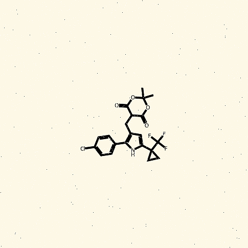 CC1(C)OC(=O)C(Cc2cc(C3(C(F)(F)F)CC3)[nH]c2-c2ccc(Cl)cc2)C(=O)O1